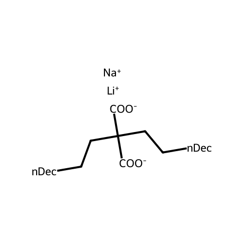 CCCCCCCCCCCCC(CCCCCCCCCCCC)(C(=O)[O-])C(=O)[O-].[Li+].[Na+]